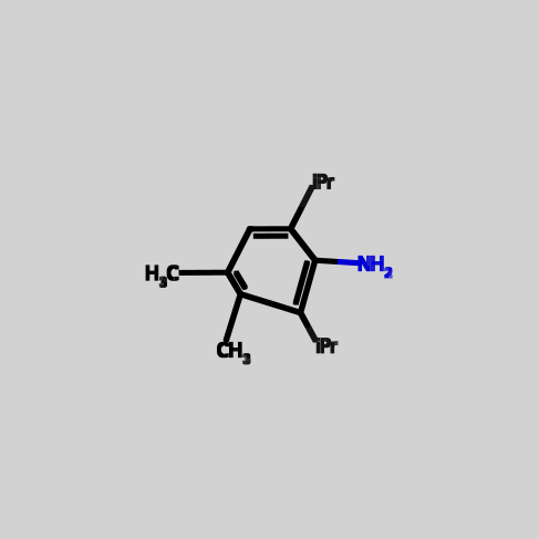 Cc1cc(C(C)C)c(N)c(C(C)C)c1C